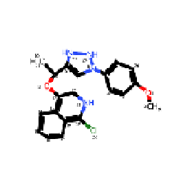 COc1ccc(N2C=C(C(C)OC3=c4ccccc4=C(Cl)NC3)NN2)cc1